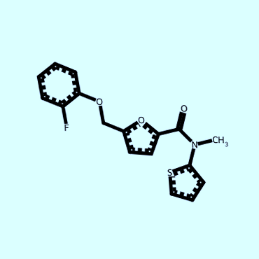 CN(C(=O)c1ccc(COc2ccccc2F)o1)c1cccs1